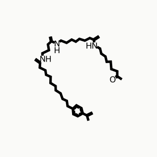 C=C(CCCCCCCNC(=C)CCCNC(=C)CCCCCCCCCCCc1ccc(C(=C)C)cc1)NCCCCCCCC(C)=O